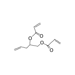 C=CCC(COC(=O)C=C)OC(=O)C=C